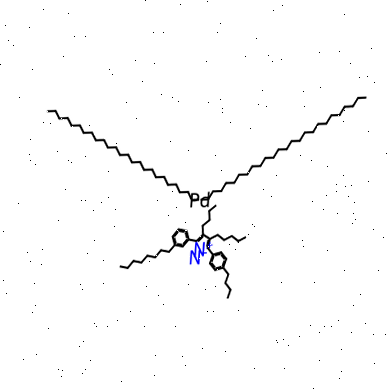 CCCCCCCCCCCCCCCCCCCCCCCC[CH2][Pd][CH2]CCCCCCCCCCCCCCCCCCCCCCCC.CCCCCCCCc1cccc(C2=C(CCCC)C(CCCCC)=C(c3ccc(CCCC)cc3)[N+]2=[N-])c1